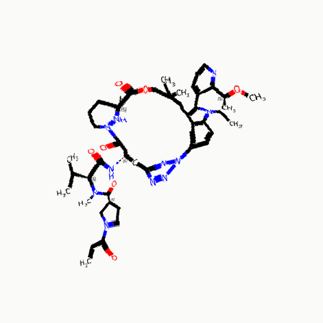 C=CC(=O)N1CC[C@H](C(=O)N(C)[C@H](C(=O)N[C@H]2Cc3nnn(n3)-c3ccc4c(c3)c(c(-c3cccnc3[C@H](C)OC)n4CC)CC(C)(C)COC(=O)[C@@H]3CCCN(N3)C2=O)C(C)C)C1